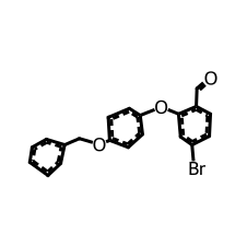 O=Cc1ccc(Br)cc1Oc1ccc(OCc2ccccc2)cc1